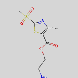 Cc1nc(S(C)(=O)=O)sc1C(=O)OCCN